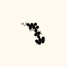 Cc1ccc(N2c3ccc(C)cc3B3c4ccc(N(c5ccccc5)c5ccc(CC6(C)c7ccccc7N(c7ccc(-c8cc9c%10c(c8)N8c%11ccccc%11Oc%11cccc(c%118)B%10c8cccc%10c8N9c8ccccc8O%10)cc7)c7ccccc76)cc5)cc4N(c4ccccc4)c4cccc2c43)cc1